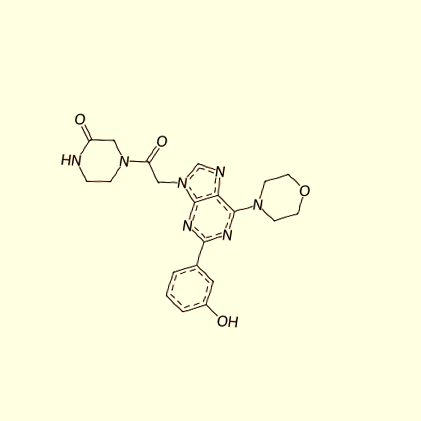 O=C1CN(C(=O)Cn2cnc3c(N4CCOCC4)nc(-c4cccc(O)c4)nc32)CCN1